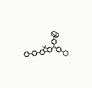 CC1(C)c2cc(-c3ccc(-c4ccccc4)cc3)ccc2-c2ccc(N(c3ccc(C4CCCCC4)cc3)c3ccc(C45CC6CC(CC(C6)C4)C5)cc3)cc21